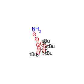 CC(C)(C)[Si](C)(C)OCC1OC(OCCOCCOCCN)C(O[Si](C)(C)C(C)(C)C)C(O[Si](C)(C)C(C)(C)C)C1O[Si](C)(C)C(C)(C)C